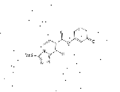 CSc1nnc2c(Cl)c(C(=O)OC3=CC(=O)CCC3)ccn12